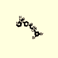 O=C(Cc1nnc(-c2cc(Br)cc(Br)c2)o1)N1CCC(n2c(=O)[nH]c3ncccc32)CC1